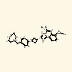 COc1cccc2c1nc(N)n1nc([C@H]3C[C@H](c4ccc(CN5CCNCC5)cc4)C3)nc21